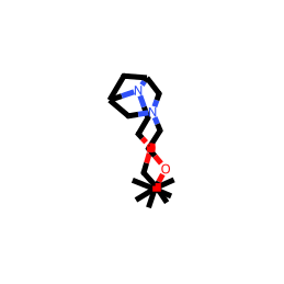 CC(C)(C)COCCN1C2CC1CN(CCOC(C)(C)C)C2